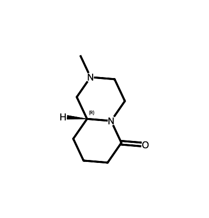 CN1CCN2C(=O)CCC[C@@H]2C1